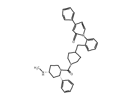 CN[C@@H]1CCN(C(=O)N2CCC(Cc3ccccc3-n3ccc(-c4ccccc4)cc3=O)CC2)[C@H](c2ccccc2)C1